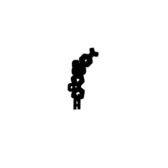 CC(C)c1ccc(S(=O)(=O)OC2=CCC3C(=C2)OC2CNCCC23)cc1